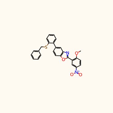 COc1ccc([N+](=O)[O-])cc1-c1nc2cc(-c3ccccc3SCc3ccccc3)ccc2o1